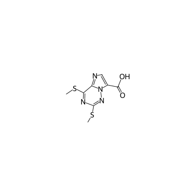 CSc1nc(SC)c2ncc(C(=O)O)n2n1